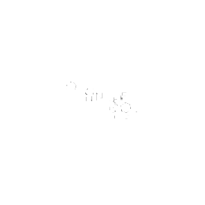 Cc1ccccc1Cc1csc(N2CCC(S(=O)(=O)c3c(F)c(F)c(F)c(F)c3F)CC2)n1